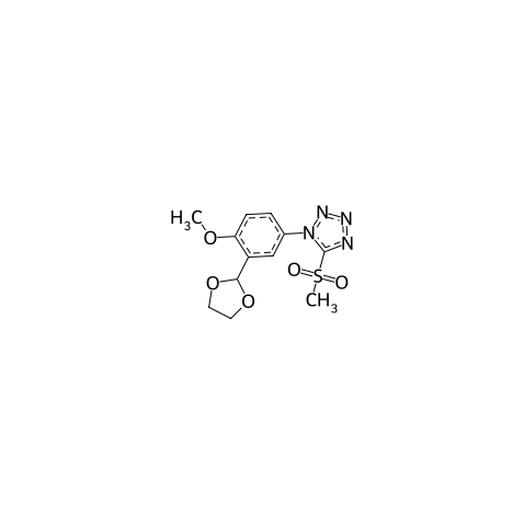 COc1ccc(-n2nnnc2S(C)(=O)=O)cc1C1OCCO1